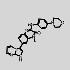 Cn1c(=O)c(Nc2ccc(N3CCOCC3)cc2)nc2ccc(C3=CNC4N=CC=CN34)cc21